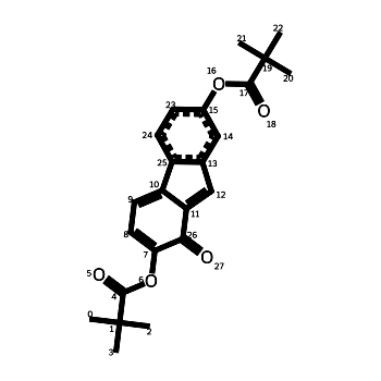 CC(C)(C)C(=O)OC1=CC=C2C(=Cc3cc(OC(=O)C(C)(C)C)ccc32)C1=O